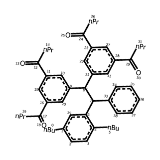 CCCCc1ccc(CCCC)c(C([C](c2cc(C(=O)CCC)cc(C(=O)CCC)c2)c2cc(C(=O)CCC)cc(C(=O)CCC)c2)c2ccccc2)c1